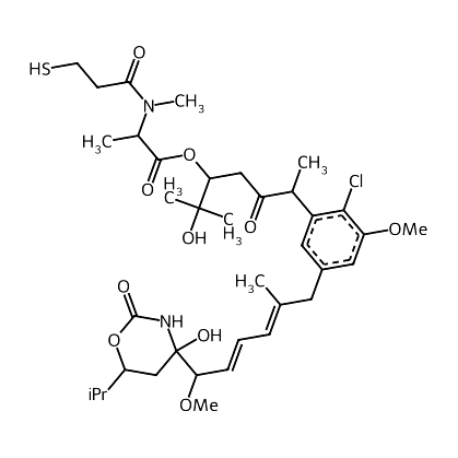 COc1cc(C/C(C)=C/C=C/C(OC)C2(O)CC(C(C)C)OC(=O)N2)cc(C(C)C(=O)CC(OC(=O)C(C)N(C)C(=O)CCS)C(C)(C)O)c1Cl